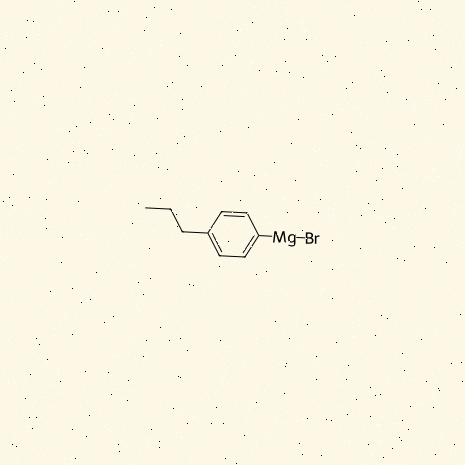 CCCc1cc[c]([Mg][Br])cc1